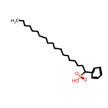 CCCCCCCCCCCCCCCCCCC(c1ccccc1)S(=O)(=O)O